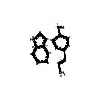 C/C=C/c1ccc(OC)cc1.c1ccc2[nH]ccc2c1